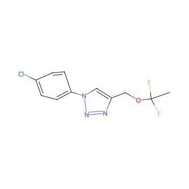 CC(F)(F)OCc1cn(-c2ccc(Cl)cc2)nn1